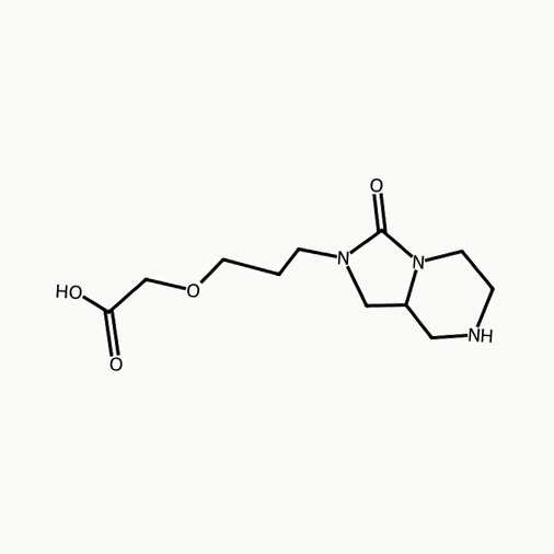 O=C(O)COCCCN1CC2CNCCN2C1=O